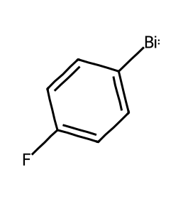 Fc1cc[c]([Bi])cc1